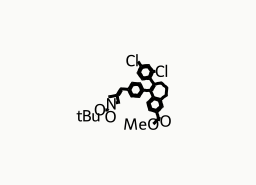 COC(=O)c1ccc2c(c1)CCCC(c1ccc(Cl)cc1Cl)=C2c1ccc(C=C2CN(C(=O)OC(C)(C)C)C2)cc1